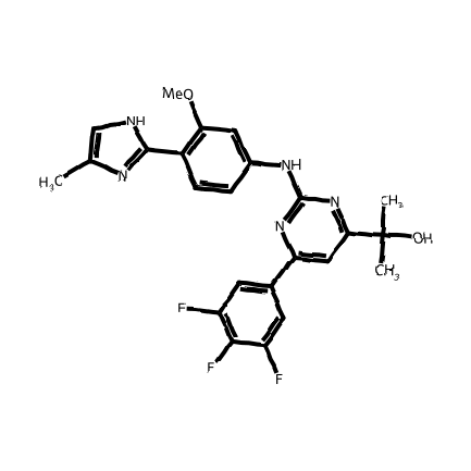 COc1cc(Nc2nc(-c3cc(F)c(F)c(F)c3)cc(C(C)(C)O)n2)ccc1-c1nc(C)c[nH]1